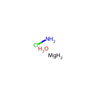 NCl.O.[MgH2]